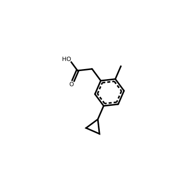 Cc1ccc(C2CC2)cc1CC(=O)O